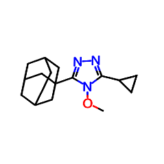 COn1c(C2CC2)nnc1C12CC3CC(CC(C3)C1)C2